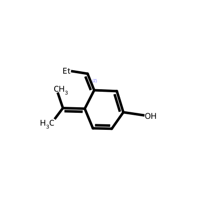 CC/C=c1/cc(O)ccc1=C(C)C